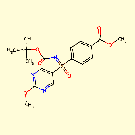 COC(=O)c1ccc(S(=O)(=NC(=O)OC(C)(C)C)c2cnc(OC)nc2)cc1